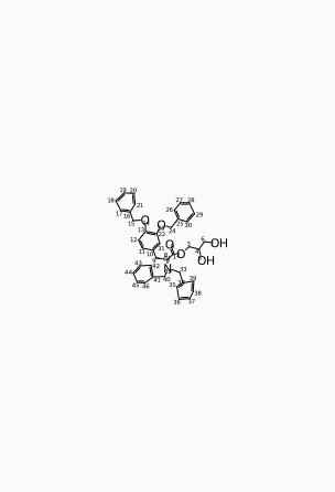 O=C(OCC(O)CO)[C@H](Cc1ccc(OCc2ccccc2)c(OCc2ccccc2)c1)N(Cc1ccccc1)Cc1ccccc1